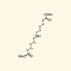 COC(=O)CCCCCNCCCCCC(=O)OC